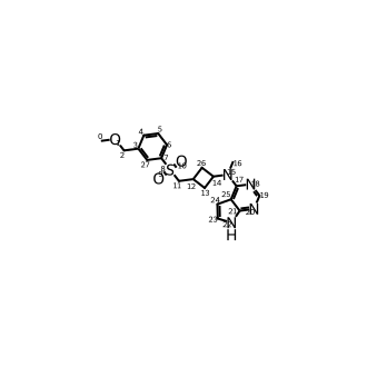 COCc1cccc(S(=O)(=O)CC2CC(N(C)c3ncnc4[nH]ccc34)C2)c1